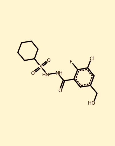 O=C(NNS(=O)(=O)C1CCCCC1)c1cc(CO)cc(Cl)c1F